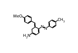 COc1ccc(C=C2CC(N)=CC=C2N=Nc2ccc(C)cc2)cc1